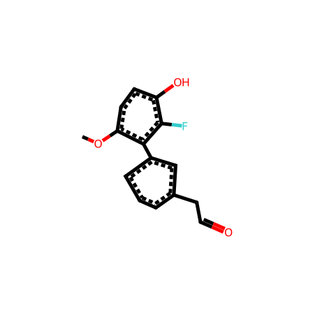 COc1ccc(O)c(F)c1-c1cccc(CC=O)c1